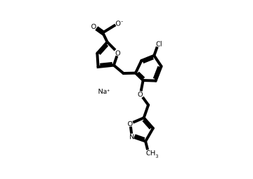 Cc1cc(COc2ccc(Cl)cc2Cc2ccc(C(=O)[O-])o2)on1.[Na+]